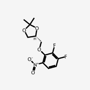 CC1(C)OC[C@@H](COc2c([N+](=O)[O-])ccc(F)c2F)O1